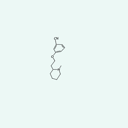 CN1CCCCC1CCOc1cccc(C#N)c1